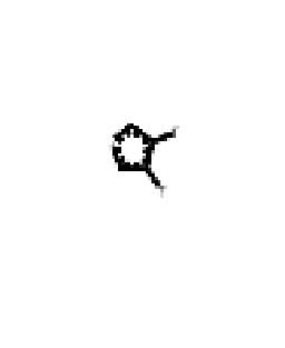 Fc1cscc1F